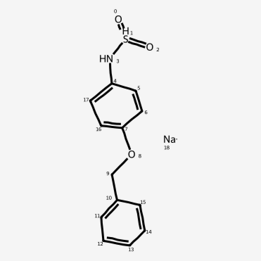 O=[SH](=O)Nc1ccc(OCc2ccccc2)cc1.[Na]